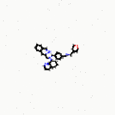 c1ccc2c(c1)CNC(CN(Cc1ccc(CNCC3CCOCC3)cc1)C1CCCc3cccnc31)C2